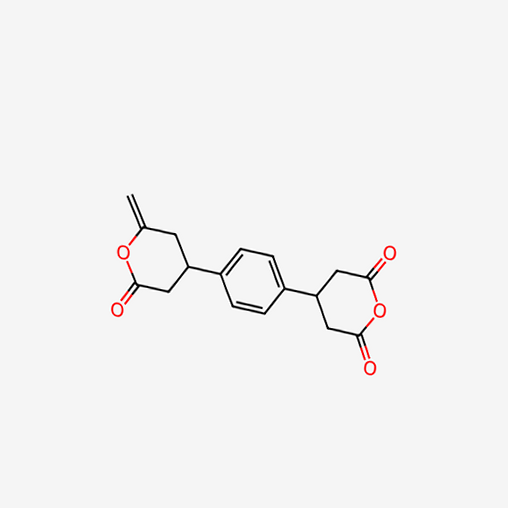 C=C1CC(c2ccc(C3CC(=O)OC(=O)C3)cc2)CC(=O)O1